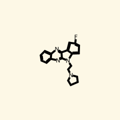 Fc1ccc2c(c1)c1nc3ccccc3nc1n2CCN1CCCC1